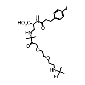 CCC(C)(C)NCCOCCOCC(=O)C(C)(C)NC[C@H](NC(=O)CCc1ccc(I)cc1)C(=O)O